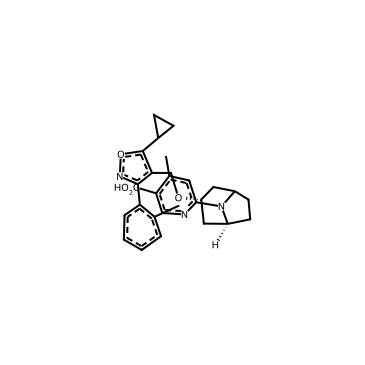 Cc1cc(N2C3CC[C@H]2C[C@H](OCc2c(-c4ccccc4C)noc2C2CC2)C3)ncc1C(=O)O